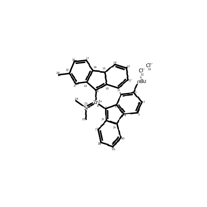 CCCCc1ccc2c(c1)[C]([Zr+2]([C]1=C3C=CC=CC3c3ccc(C)cc31)=[Si](C)C)=C1C=CC=CC12.[Cl-].[Cl-]